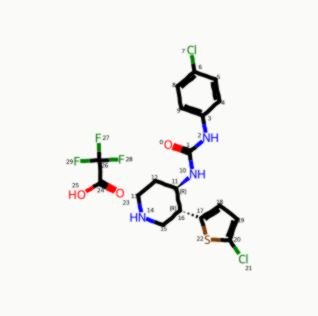 O=C(Nc1ccc(Cl)cc1)N[C@@H]1CCNC[C@H]1c1ccc(Cl)s1.O=C(O)C(F)(F)F